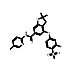 Cc1ccc(NC(=O)c2cc(Oc3ccc(S(C)(=O)=O)c(F)c3)c3c(c2)OC(C)(C)C3)nc1